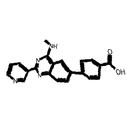 CNc1nc(-c2cccnc2)nc2ccc(-c3ccc(C(=O)O)cc3)cc12